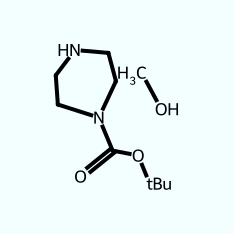 CC(C)(C)OC(=O)N1CCNCC1.CO